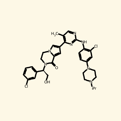 Cc1cnc(Nc2ccc(N3CCN(C(C)C)CC3)cc2Cl)nc1-c1cc2n(c1)CCN([C@@H](CO)c1cccc(Cl)c1)C2=O